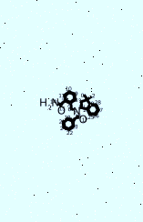 CC1(C)C[C@@H](N(Cc2ccccc2C(N)=O)C(=O)c2ccccc2)c2ccccc21